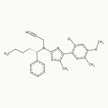 C#CCN(c1nc(-c2cc(C)c(OC)cc2Cl)c(C)s1)[C@@H](CCCC)c1ccccc1